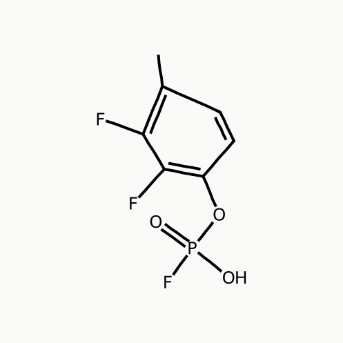 Cc1ccc(OP(=O)(O)F)c(F)c1F